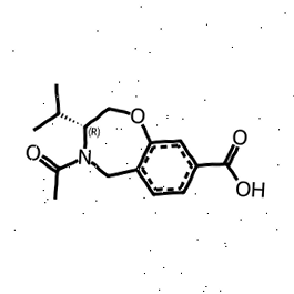 CC(=O)N1Cc2ccc(C(=O)O)cc2OC[C@H]1C(C)C